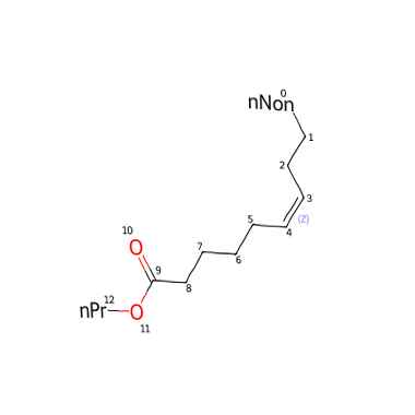 CCCCCCCCCCC/C=C\CCCCC(=O)OCCC